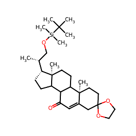 C[C@H](CO[Si](C)(C)C(C)(C)C)[C@H]1CCC2C3C(=O)C=C4CC5(CC[C@]4(C)C3CC[C@@]21C)OCCO5